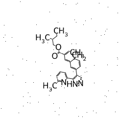 C=c1ccc(-c2cn[nH]c2-c2cccc(C)n2)c/c1=C/C(=C\C)C(=O)OCC(C)CC